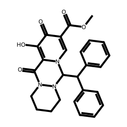 COC(=O)c1cn2c(c(O)c1=O)C(=O)N1CCCCN1C2C(c1ccccc1)c1ccccc1